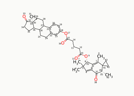 CC1=C2C(=CC(C)(C)[C@@H]2OC(=O)CCCC(=O)Oc2ccc3c(c2)CCC2C3CC[C@]3(C)C(=O)CCC23)C(=O)[C@@H](C)C12CC2